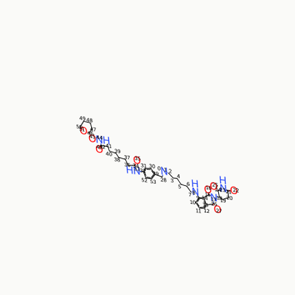 CN(CCCCCCNc1cccc2c1C(=O)N(C1CCC(=O)NC1=O)C2=O)Cc1ccc(NC(=O)CCCCCCC(=O)NOC2CCCCO2)cc1